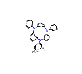 C/C=C\C(=C/C)N1c2cccc(c2)N(c2ccccc2)c2cccc(c2)N(c2ccccc2)c2cccc1c2